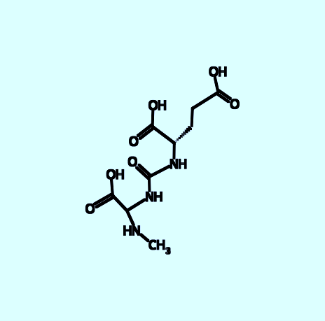 CNC(NC(=O)N[C@@H](CCC(=O)O)C(=O)O)C(=O)O